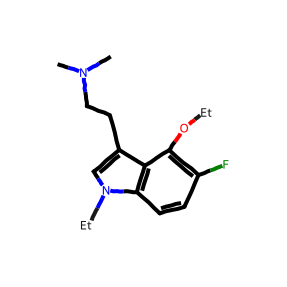 CCOc1c(F)ccc2c1c(CCN(C)C)cn2CC